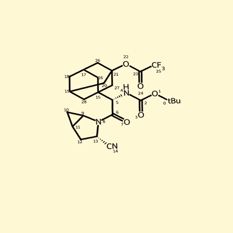 CC(C)(C)OC(=O)N[C@H](C(=O)N1C2CC2C[C@H]1C#N)C12CC3CC(CC(OC(=O)C(F)(F)F)(C3)C1)C2